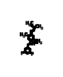 CCN(C)C=Nc1cc(C)c(NCc2cc(F)cc(F)c2)cc1C.Cl